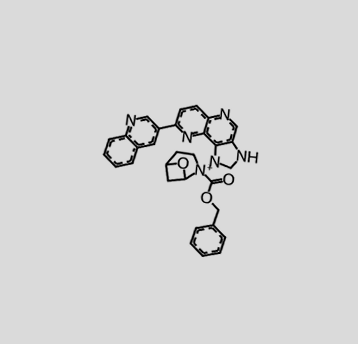 O=C(OCc1ccccc1)[N+]1(N2CNc3cnc4ccc(-c5cnc6ccccc6c5)nc4c32)CCC2CC1O2